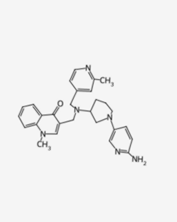 Cc1cc(CN(Cc2cn(C)c3ccccc3c2=O)C2CCCN(c3ccc(N)nc3)C2)ccn1